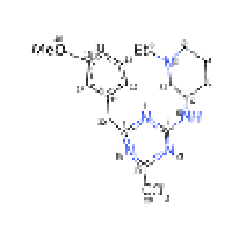 CCN1CCCC(Nc2nc(Cc3cccc(OC)c3)nc(C(Cl)(Cl)Cl)n2)C1